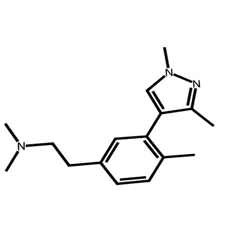 Cc1ccc(CCN(C)C)cc1-c1cn(C)nc1C